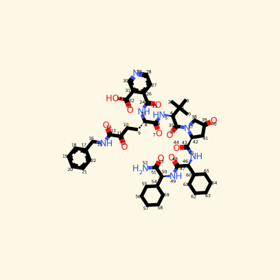 CC(C)(C)[C@H](NC(=O)[C@H](CCC(=O)C(=O)NCc1ccccc1)NC(=O)c1ccncc1C(=O)O)C(=O)N1CC(=O)C[C@H]1C(=O)N[C@H](C(=O)N[C@H](C(N)=O)C1CCCCC1)C1CCCCC1